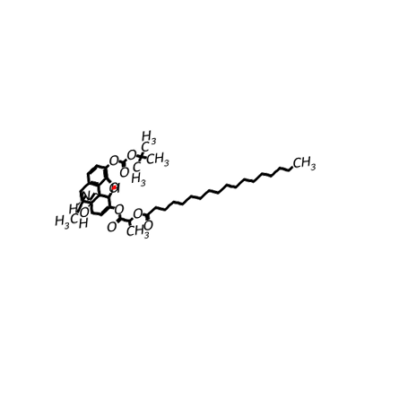 CCCCCCCCCCCCCCCCCC(=O)OC(C)C(=O)OC1=CC[C@@]2(O)[C@H]3Cc4ccc(OC(=O)OC(C)(C)C)c5c4[C@@]2(CCN3C)[C@H]1O5